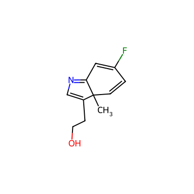 CC12C=CC(F)=CC1=NC=C2CCO